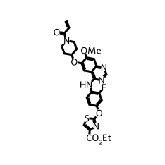 C=CC(=O)N1CCC(Oc2cc3c(Nc4ccc(Oc5nc(C(=O)OCC)cs5)cc4F)ncnc3cc2OC)CC1